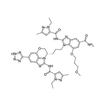 CCn1nc(C)cc1C(=O)Nc1nc2cc(C(N)=O)cc(OCCCOC)c2n1CCC[C@H]1COc2cc(-c3nn[nH]n3)cc3nc(NC(=O)c4cc(C)nn4CC)n1c23